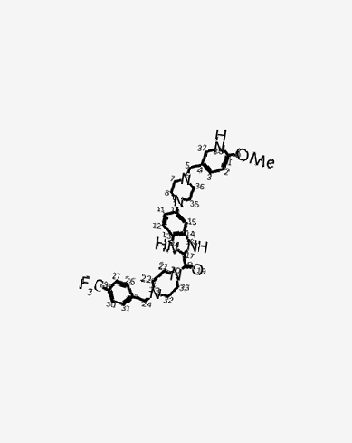 COC1=CC=C(CN2CCN(c3ccc4c(c3)NC(C(=O)N3CCN(Cc5ccc(C(F)(F)F)cc5)CC3)N4)CC2)CN1